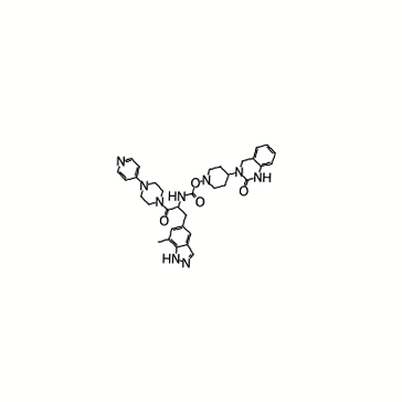 Cc1cc(CC(NC(=O)ON2CCC(N3Cc4ccccc4NC3=O)CC2)C(=O)N2CCN(c3ccncc3)CC2)cc2cn[nH]c12